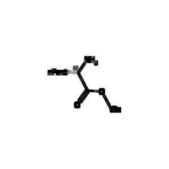 CCCCC[C@H](N)C(=O)OC(C)(C)C